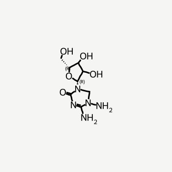 NC1=NC(=O)N([C@@H]2O[C@H](CO)C(O)C2O)CN1N